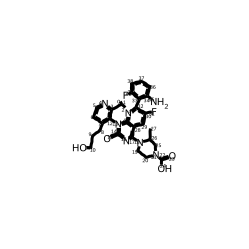 CC(C)c1nccc(CCCO)c1-n1c(=O)nc(N2CCN(C(=O)O)CC2C)c2cc(F)c(-c3c(N)cccc3F)nc21